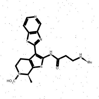 CC[C@H](C)NCCC(=O)Nc1sc2c(c1-c1nc3cnccc3s1)CCN(C(=O)O)[C@@H]2C